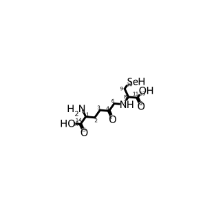 NC(CCC(=O)CNC(C[SeH])C(=O)O)C(=O)O